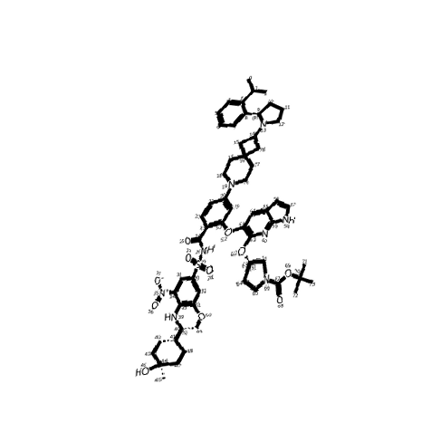 CC(C)c1ccccc1[C@H]1CCCN1C1CC2(CCN(c3ccc(C(=O)NS(=O)(=O)c4cc5c(c([N+](=O)[O-])c4)N[C@@H]([C@H]4CC[C@](C)(O)CC4)CO5)c(Oc4cc5cc[nH]c5nc4O[C@H]4CCN(C(=O)OC(C)(C)C)C4)c3)CC2)C1